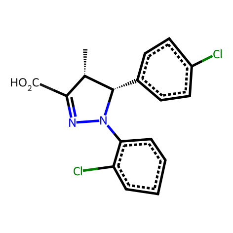 C[C@H]1C(C(=O)O)=NN(c2ccccc2Cl)[C@H]1c1ccc(Cl)cc1